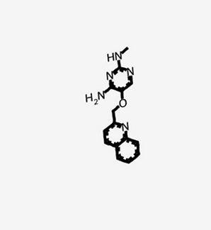 CNc1ncc(OCc2ccc3ccccc3n2)c(N)n1